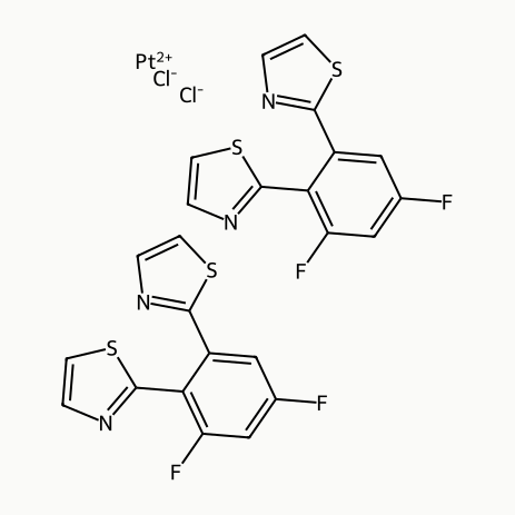 Fc1cc(F)c(-c2nccs2)c(-c2nccs2)c1.Fc1cc(F)c(-c2nccs2)c(-c2nccs2)c1.[Cl-].[Cl-].[Pt+2]